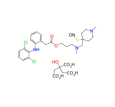 CN1CCC(CN(C)CCCOC(=O)Cc2ccccc2Nc2c(Cl)cccc2Cl)(SN=O)CC1.O=C(O)CC(O)(CC(=O)O)C(=O)O